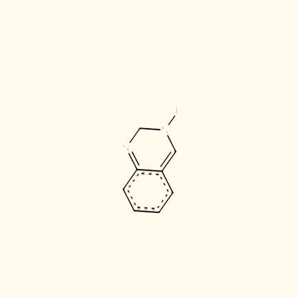 BrN1[CH]N=c2ccccc2=C1